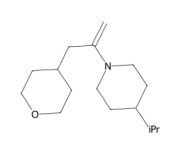 C=C(CC1CCOCC1)N1CCC(C(C)C)CC1